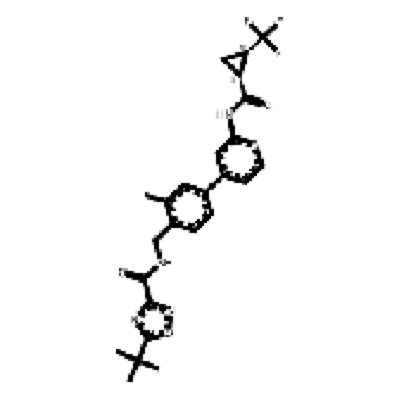 Cc1cc(-c2ccnc(NC(=O)[C@H]3C[C@H]3C(F)(F)F)c2)ccc1CNC(=O)c1noc(C(C)(C)C)n1